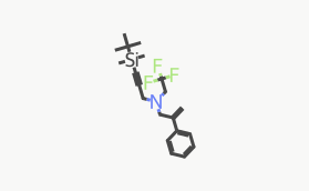 C=C(CN(CC#C[Si](C)(C)C(C)(C)C)CC(F)(F)F)c1ccccc1